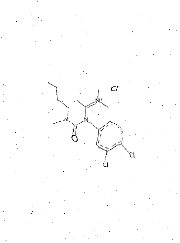 CCCCN(C)C(=O)N(C(C)=[N+](C)C)c1ccc(Cl)c(Cl)c1.[Cl-]